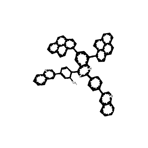 CC1C=C(c2cnc3ccccc3c2)C=CC1c1nc(-c2ccc(-c3cnc4ccccc4c3)cc2)nc2c(-c3ccc4ccc5cccc6ccc3c4c56)cc(-c3ccc4ccc5cccc6ccc3c4c56)cc12